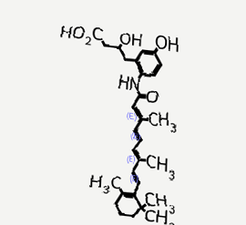 CC1=C(/C=C/C(C)=C/C=C/C(C)=C/C(=O)Nc2ccc(O)cc2CC(O)CC(=O)O)C(C)(C)CCC1